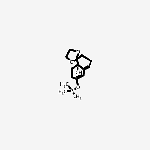 C[C@]12CCC(O[Si](C)(C)C)=CC1=CCCC21OCCO1